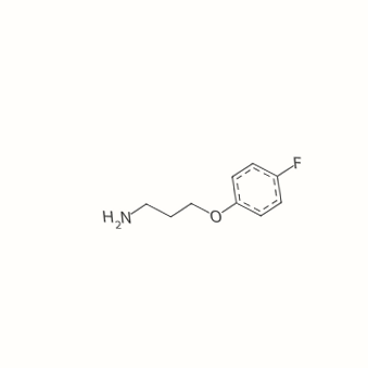 NCCCOc1ccc(F)cc1